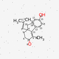 CC(C)=CC12CCC(=O)C(C)=C1c1ccc(O)cc1C2